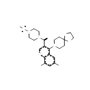 CCS(=O)(=O)N1CCN(C(=O)c2cnc3c(F)cc(F)cc3c2N2CCC3(CC2)OCCO3)CC1